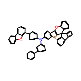 c1ccc(-c2cccc(N(c3ccc(-c4cccc5c4oc4ccccc45)cc3)c3ccc4c5c(sc4c3)C3(c4ccccc4O5)c4ccccc4-c4ccccc43)c2)cc1